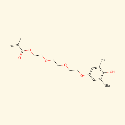 C=C(C)C(=O)OCCOCCOCCOc1cc(C(C)(C)C)c(O)c(C(C)(C)C)c1